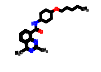 CCCCCOC1CCC(NC(=O)c2cccc3c(C)nc(C)nc23)CC1